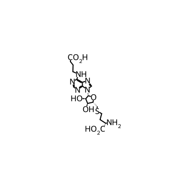 N[C@@H](CCSC[C@H]1O[C@@H](n2cnc3c(NCCCC(=O)O)ncnc32)[C@H](O)[C@@H]1O)C(=O)O